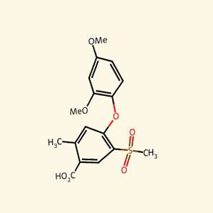 COc1ccc(Oc2cc(C)c(C(=O)O)cc2S(C)(=O)=O)c(OC)c1